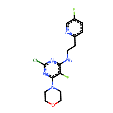 Fc1ccc(CCNc2nc(Cl)nc(N3CCOCC3)c2F)nc1